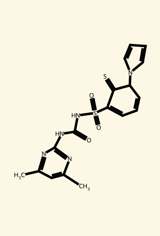 Cc1cc(C)nc(NC(=O)NS(=O)(=O)C2=CC=CC(n3cccc3)C2=S)n1